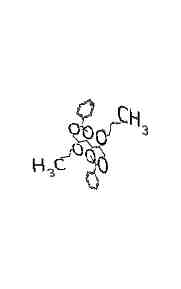 CCCCO[C@H]1CO[C@@H](c2ccccc2)OC1C1O[C@H](c2ccccc2)OC[C@@H]1OCCCC